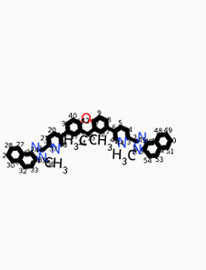 Cn1c(-c2ccc(-c3ccc4c(c3)C(C)(C)c3cc(-c5ccc(-c6nc7c8ccccc8ccc7n6C)nc5)ccc3O4)cn2)nc2c3ccccc3ccc21